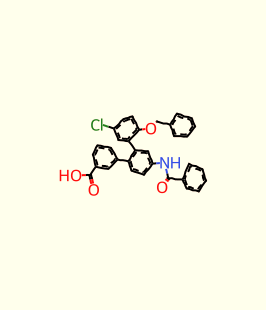 O=C(O)c1cccc(-c2ccc(NC(=O)c3ccccc3)cc2-c2cc(Cl)ccc2OCc2ccccc2)c1